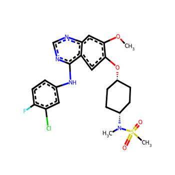 COc1cc2ncnc(Nc3ccc(F)c(Cl)c3)c2cc1O[C@H]1CC[C@@H](N(C)S(C)(=O)=O)CC1